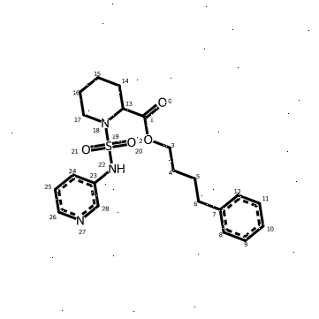 O=C(OCCCCc1ccccc1)C1CCCCN1S(=O)(=O)Nc1cccnc1